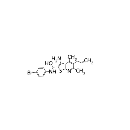 C=CCc1c(C)nc2sc(C(O)Nc3ccc(Br)cc3)c(N)c2c1C